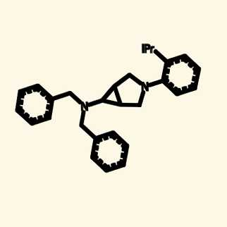 CC(C)c1ccccc1N1CC2C(C1)C2N(Cc1ccccc1)Cc1ccccc1